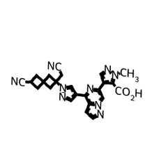 Cn1ncc(-c2cn3nccc3c(-c3cnn(C4(CC#N)CC5(CC(C#N)C5)C4)c3)n2)c1C(=O)O